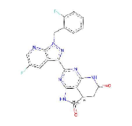 C[C@@]12CC(=O)Nc3nc(-c4nn(Cc5ccccc5F)c5ncc(F)cc45)nc(c31)NC2=O